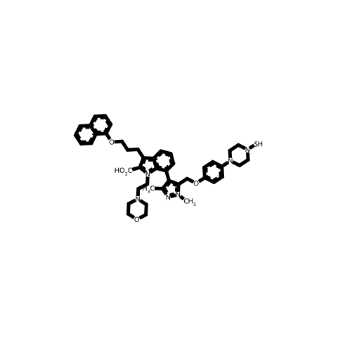 Cc1nn(C)c(COc2ccc(N3CCN(S)CC3)cc2)c1-c1cccc2c(CCCOc3cccc4ccccc34)c(C(=O)O)n(CCN3CCOCC3)c12